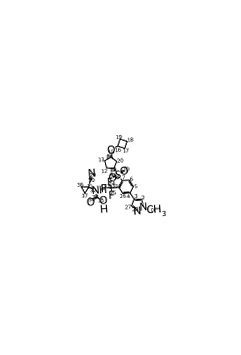 Cn1cc(-c2ccc(S(=O)(=O)[C@H]3CC[C@H](OC4CCC4)C3)c(C(F)(F)F)c2)cn1.N#CC1(NC(=O)O)CC1